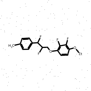 CCOc1ccc(OCC(F)C(F)c2ccc(C)cc2)c(F)c1F